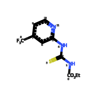 CCOC(=O)NC(=S)Nc1cc(C(F)(F)F)ccn1